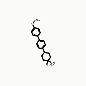 CCCCCCCCCOc1ccc(-c2ccc(C3CCC(C#N)(CCCCCCC)CC3)cc2)cc1